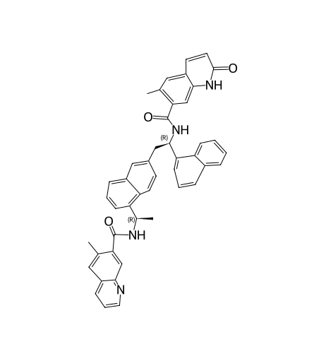 Cc1cc2cccnc2cc1C(=O)N[C@H](C)c1cccc2cc(C[C@@H](NC(=O)c3cc4[nH]c(=O)ccc4cc3C)c3cccc4ccccc34)ccc12